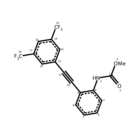 COC(=O)Nc1ccccc1C#Cc1cc(C(F)(F)F)cc(C(F)(F)F)c1